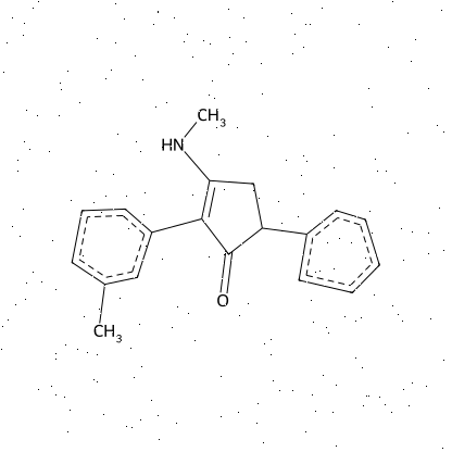 CNC1=C(c2cccc(C)c2)C(=O)C(c2ccccc2)C1